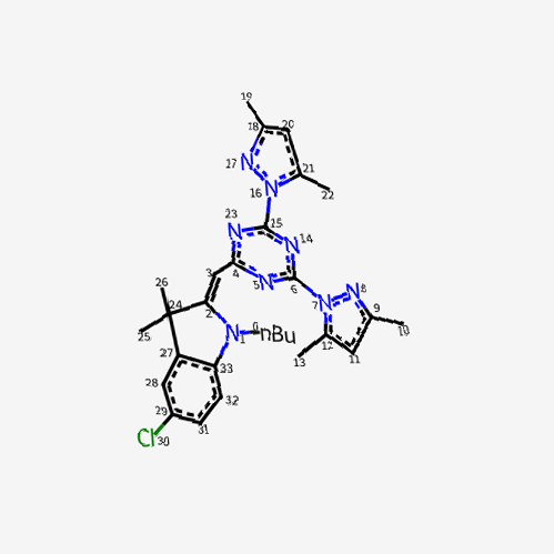 CCCCN1/C(=C\c2nc(-n3nc(C)cc3C)nc(-n3nc(C)cc3C)n2)C(C)(C)c2cc(Cl)ccc21